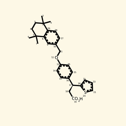 CC1(C)CCC(C)(C)c2cc(COc3ccc([C@H](CC(=O)O)c4cccs4)cc3)ccc21